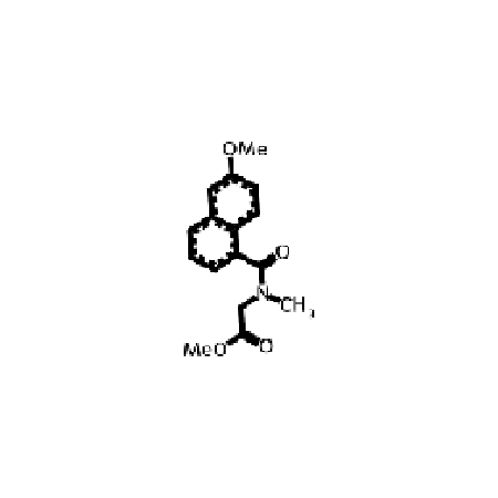 COC(=O)CN(C)C(=O)c1cccc2cc(OC)ccc12